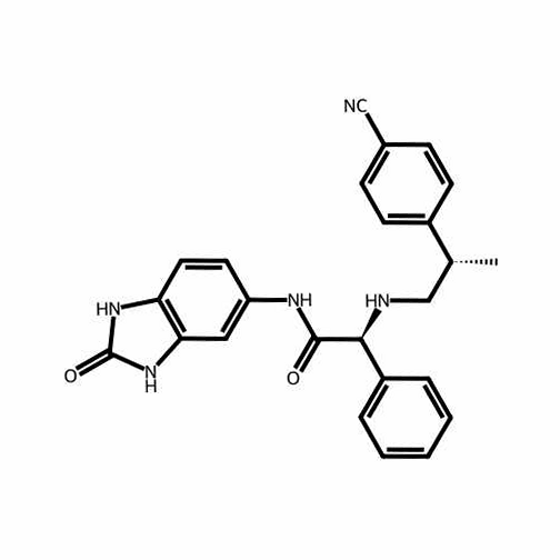 C[C@H](CN[C@H](C(=O)Nc1ccc2[nH]c(=O)[nH]c2c1)c1ccccc1)c1ccc(C#N)cc1